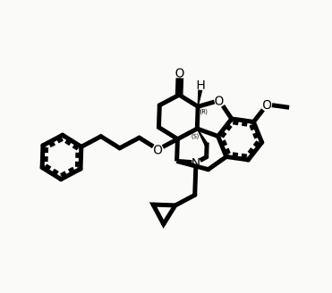 COc1ccc2c3c1O[C@H]1C(=O)CCC4(OCCCc5ccccc5)C(C2)N(CC2CC2)CC[C@]314